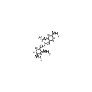 Nc1ccc(OCCOc2ccc(N)cc2N)c(N)c1